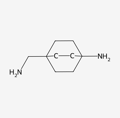 NCC12CCC(N)(CC1)CC2